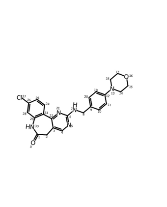 O=C1Cc2cnc(NCc3ccc(N4CCOCC4)cc3)nc2-c2ccc(Cl)cc2N1